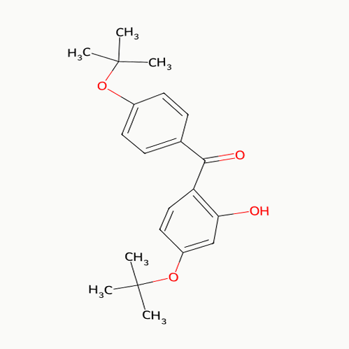 CC(C)(C)Oc1ccc(C(=O)c2ccc(OC(C)(C)C)cc2O)cc1